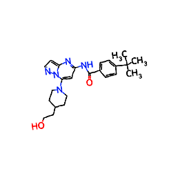 CC(C)(C)c1ccc(C(=O)Nc2cc(N3CCC(CCO)CC3)n3nccc3n2)cc1